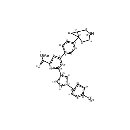 COC(=O)c1cc(-c2ccc(C34CCNCC3C4)cc2)cc(-n2cc(-c3ccc(C(F)(F)F)cc3)nn2)c1